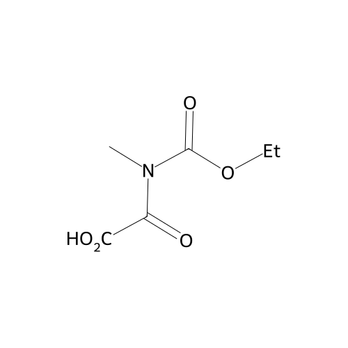 CCOC(=O)N(C)C(=O)C(=O)O